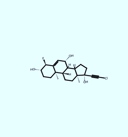 C[C@]12CC[C@H](O)[C@@H](F)C1=C[C@H](O)[C@@H]1[C@@H]2CC[C@@]2(C)[C@H]1CC[C@@]2(O)C#CCl